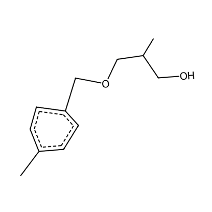 Cc1ccc(COCC(C)CO)cc1